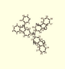 c1ccc(-n2c3ccccc3c3ccc(N(c4cnc5c(c4)oc4ccccc45)c4cnc5c(c4)oc4ccccc45)cc32)cc1